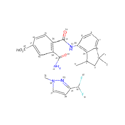 CC1CC(C)(C)c2cccc(NC(=O)c3ccc(C(=O)O)cc3C(N)=O)c21.Cn1ccc(C(F)F)n1